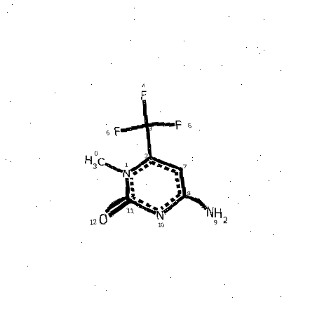 Cn1c(C(F)(F)F)cc(N)nc1=O